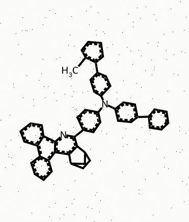 Cc1ccccc1-c1ccc(N(c2ccc(-c3ccccc3)cc2)c2ccc(-c3nc4c5ccccc5c5ccccc5c4c4c3C3CCC4C3)cc2)cc1